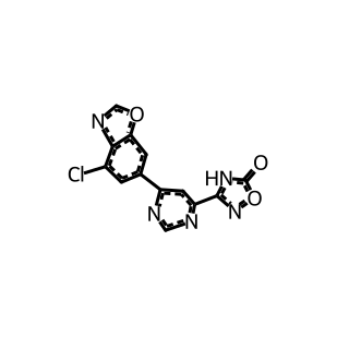 O=c1[nH]c(-c2cc(-c3cc(Cl)c4ncoc4c3)ncn2)no1